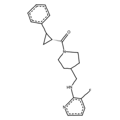 O=C([C@@H]1CC1c1ccccc1)N1CCC(CNc2ncccc2F)CC1